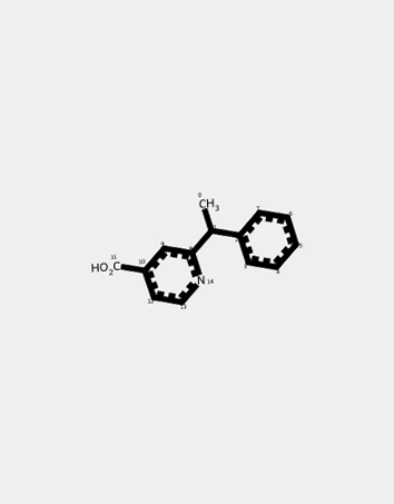 CC(c1ccccc1)c1cc(C(=O)O)ccn1